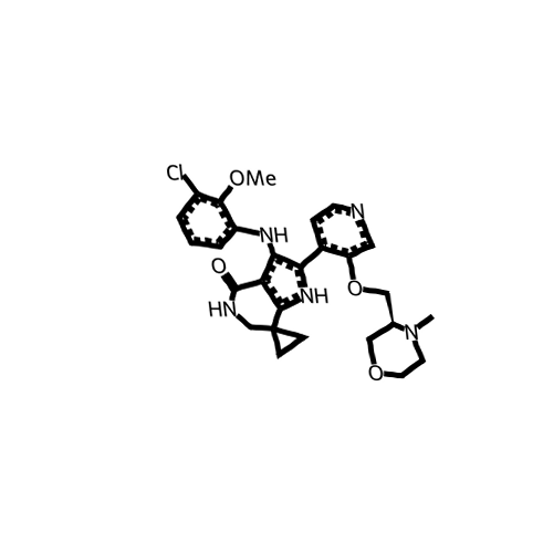 COc1c(Cl)cccc1Nc1c(-c2ccncc2OC[C@@H]2COCCN2C)[nH]c2c1C(=O)NCC21CC1